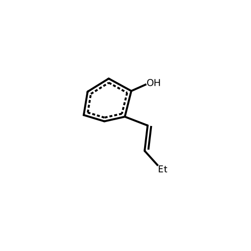 [CH2]C/C=C/c1ccccc1O